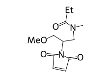 CCC(=O)N(C)CC(COC)N1C(=O)C=CC1=O